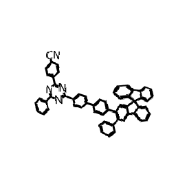 N#Cc1ccc(-c2nc(-c3ccccc3)nc(-c3ccc(-c4ccc(-c5cc6c(cc5-c5ccccc5)-c5ccccc5C65c6ccccc6-c6ccccc65)cc4)cc3)n2)cc1